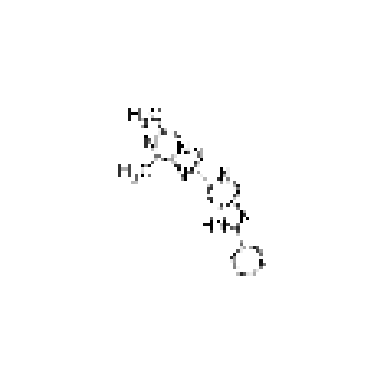 Cc1cn2nc(-c3cc4[nH]c(-c5ccccc5)nc4cn3)nc2c(C)n1